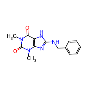 Cn1c(=O)c2[nH]c(NCc3ccccc3)nc2n(C)c1=O